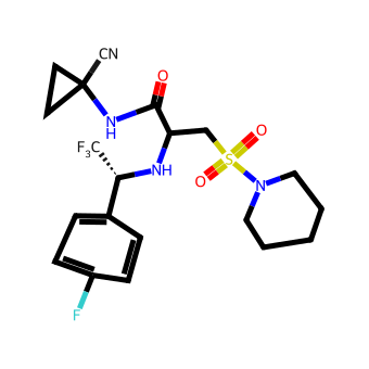 N#CC1(NC(=O)C(CS(=O)(=O)N2CCCCC2)N[C@H](c2ccc(F)cc2)C(F)(F)F)CC1